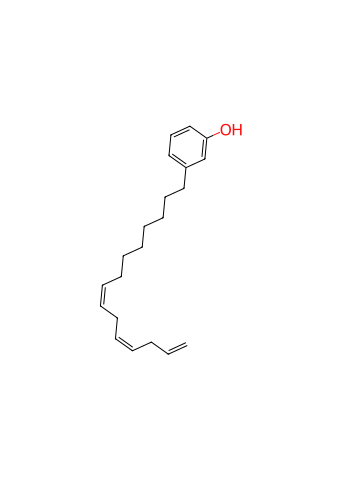 C=CC/C=C\C/C=C\CCCCCCCc1cccc(O)c1